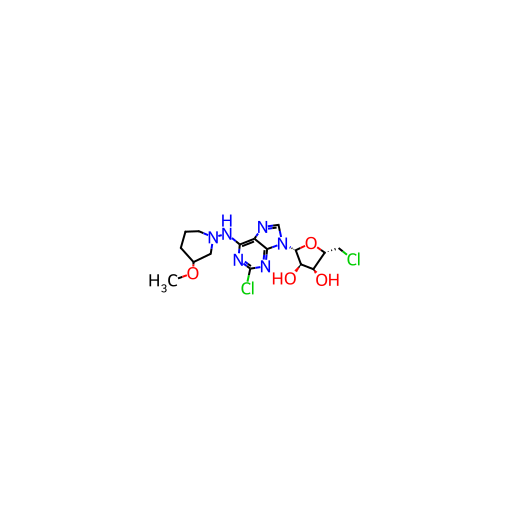 COC1CCCN(Nc2nc(Cl)nc3c2ncn3[C@@H]2O[C@H](CCl)[C@@H](O)[C@H]2O)C1